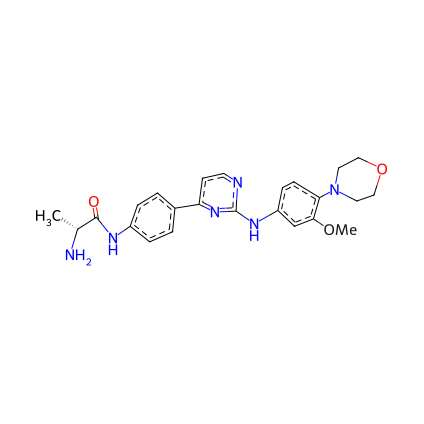 COc1cc(Nc2nccc(-c3ccc(NC(=O)[C@@H](C)N)cc3)n2)ccc1N1CCOCC1